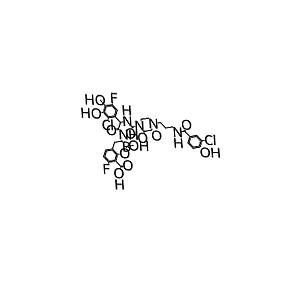 O=C(NCCCN1CCN(C(=O)NC(C(=O)N[C@H]2Cc3ccc(F)c(C(=O)O)c3OB2O)c2cc(F)c(O)c(O)c2Cl)C(=O)C1=O)c1ccc(O)c(Cl)c1